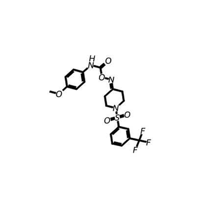 COc1ccc(NC(=O)ON=C2CCN(S(=O)(=O)c3cccc(C(F)(F)F)c3)CC2)cc1